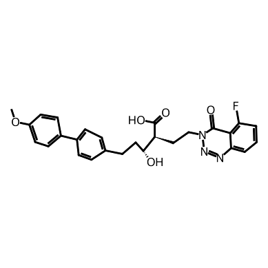 COc1ccc(-c2ccc(CC[C@@H](O)[C@H](CCn3nnc4cccc(F)c4c3=O)C(=O)O)cc2)cc1